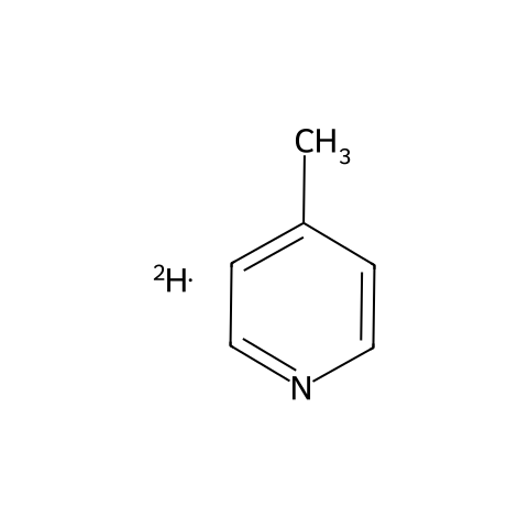 Cc1ccncc1.[2H]